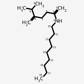 C=C(CCC(=C)C(C)C)NCCCCCCCCC